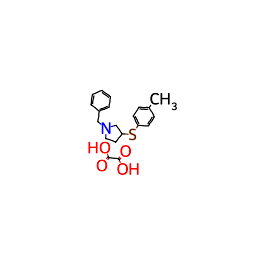 Cc1ccc(SC2CCN(Cc3ccccc3)C2)cc1.O=C(O)C(=O)O